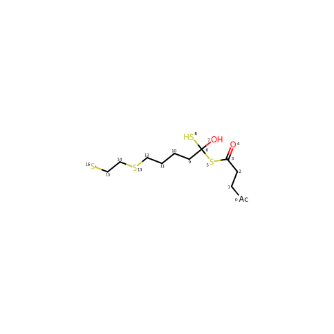 CC(=O)CCC(=O)SC(O)(S)CCCCSCC[S]